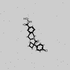 O=C(NO)c1ccc2c(c1)CCN(C(=O)C1(c3ccc(Cl)cc3)CCC1)C2